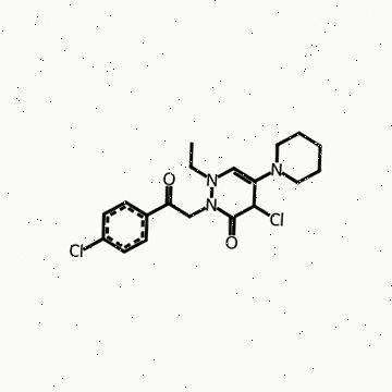 CCN1C=C(N2CCCCC2)C(Cl)C(=O)N1CC(=O)c1ccc(Cl)cc1